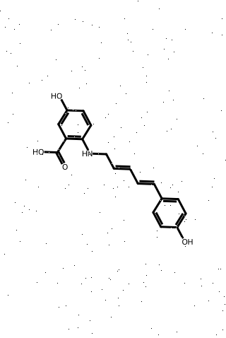 O=C(O)c1cc(O)ccc1NC/C=C/C=C/c1ccc(O)cc1